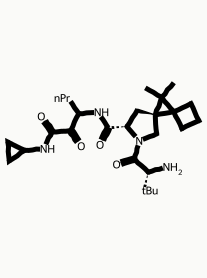 CCCC(NC(=O)[C@@H]1C[C@@]2(CN1C(=O)[C@H](N)C(C)(C)C)C(C)(C)C21CCC1)C(=O)C(=O)NC1CC1